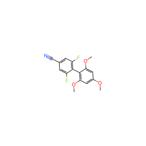 COc1cc(OC)c(-c2c(F)cc(C#N)cc2F)c(OC)c1